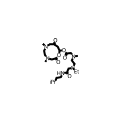 CCN(CCN(C)CC(=O)OC1CC(=O)CN(C)CCN(C)CC(=O)O1)CC(=O)NCCC(C)C